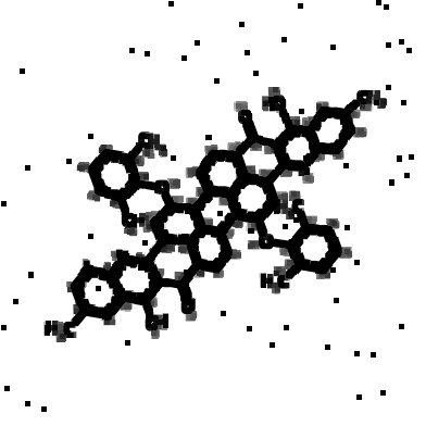 Cc1ccc2nc3c(c(O)c2c1)C(=O)c1ccc2c4c(Oc5c(C)cccc5C)cc5c6c(ccc(c7c(Oc8c(C)cccc8C)cc-3c1c27)c64)C(=O)c1c-5nc2ccc(C)cc2c1O